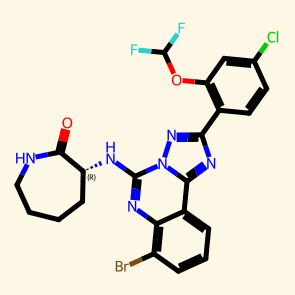 O=C1NCCCC[C@H]1Nc1nc2c(Br)cccc2c2nc(-c3ccc(Cl)cc3OC(F)F)nn12